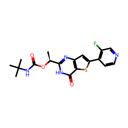 C[C@H](OC(=O)NC(C)(C)C)c1nc2cc(-c3ccncc3F)sc2c(=O)[nH]1